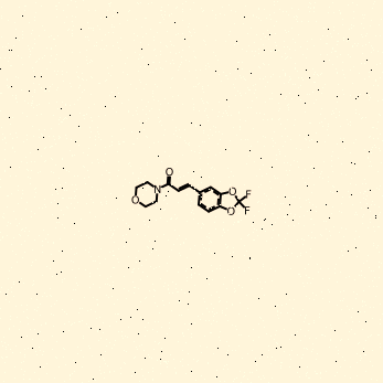 O=C(/C=C/c1ccc2c(c1)OC(F)(F)O2)N1CCOCC1